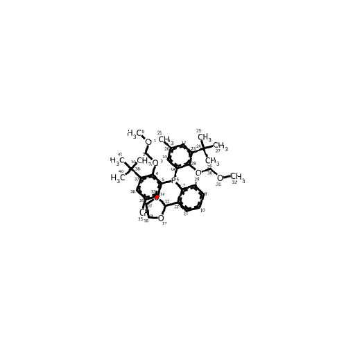 COCOc1c(P(c2ccccc2C2OCCO2)c2cc(C)cc(C(C)(C)C)c2OCOC)cc(C)cc1C(C)(C)C